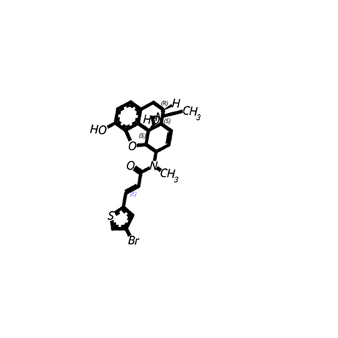 CN(C(=O)/C=C/c1cc(Br)cs1)C1C=C[C@@]2(O)[C@H]3Cc4ccc(O)c5c4[C@@]2(CCN3C)C1O5